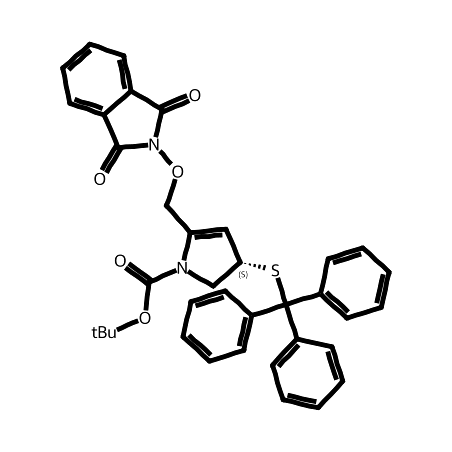 CC(C)(C)OC(=O)N1C[C@@H](SC(c2ccccc2)(c2ccccc2)c2ccccc2)C=C1CON1C(=O)c2ccccc2C1=O